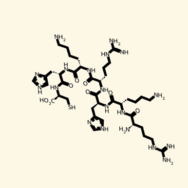 N=C(N)NCCC[C@H](NC(=O)[C@H](Cc1c[nH]cn1)NC(=O)[C@H](CCCCN)NC(=O)[C@@H](N)CCCNC(=N)N)C(=O)N[C@@H](CCCCN)C(=O)N[C@@H](Cc1c[nH]cn1)C(=O)N[C@@H](CS)C(=O)O